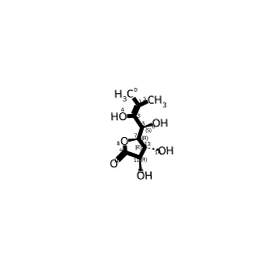 CC(C)=C(O)[C@@H](O)[C@@H]1OC(=O)[C@H](O)[C@H]1O